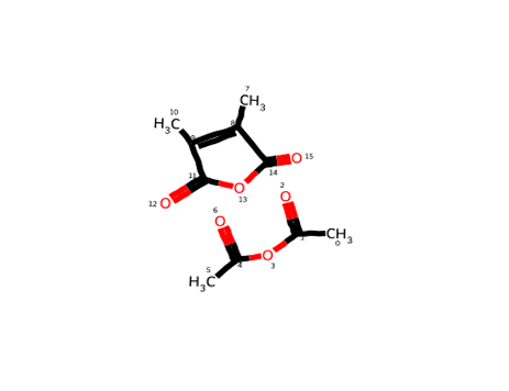 CC(=O)OC(C)=O.CC1=C(C)C(=O)OC1=O